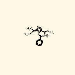 CO[C@@H](C)c1nnc([C@H](C)OC)n1N=C(C)c1ccccc1